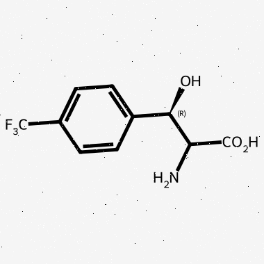 NC(C(=O)O)[C@H](O)c1ccc(C(F)(F)F)cc1